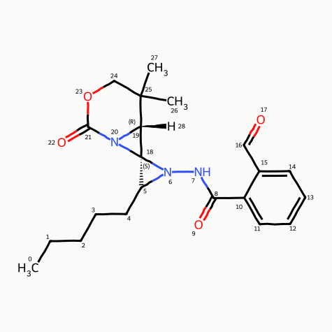 CCCCCC1N(NC(=O)c2ccccc2C=O)[C@@]12[C@@H]1N2C(=O)OCC1(C)C